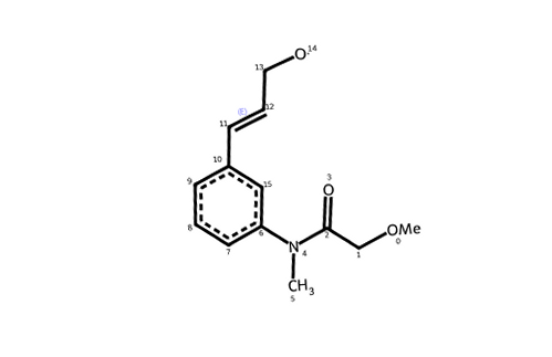 COCC(=O)N(C)c1cccc(/C=C/C[O])c1